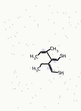 C\C=C(C)/C(=C\S)C(=C\S)/CC